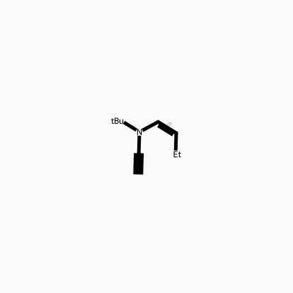 C#CN(/C=C\CC)C(C)(C)C